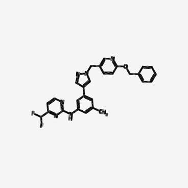 Cc1cc(Nc2nccc(C(F)F)n2)cc(-c2cnn(Cc3ccc(OCc4ccccc4)nc3)c2)c1